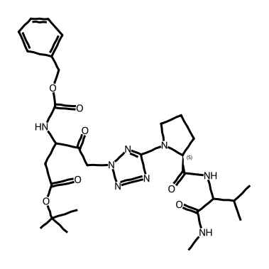 CNC(=O)C(NC(=O)[C@@H]1CCCN1c1nnn(CC(=O)C(CC(=O)OC(C)(C)C)NC(=O)OCc2ccccc2)n1)C(C)C